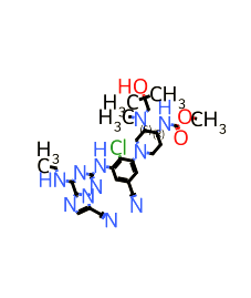 CCNc1nc(Nc2cc(C#N)cc(N3CC[C@@H](NC(=O)OC)[C@@H](N(C)CC(C)(C)O)C3)c2Cl)nn2c(C#N)cnc12